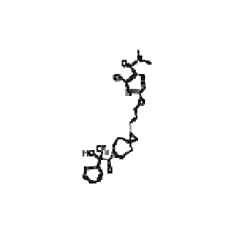 CN(C)C(=O)c1ccc(OCCC[C@@H]2CC23CCN(C(=O)C(O)(c2ccccc2)C(F)(F)F)CC3)nc1Cl